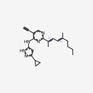 C#Cc1cnc(/C(C)=C/C=C(\C)CCCC)nc1Nc1cc(C2CC2)n[nH]1